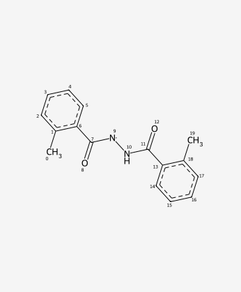 Cc1ccccc1C(=O)[N]NC(=O)c1ccccc1C